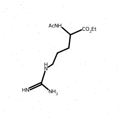 CCOC(=O)C(CCCNC(=N)N)NC(C)=O